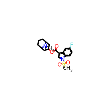 CN1C2CCCC1CC(OC(=O)c1cn(S(C)(=O)=O)c3ccc(F)cc13)C2